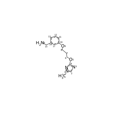 Cn1cnc(OCCCOc2cccc(CN)c2)n1